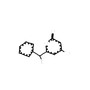 CCC(c1ccccc1)c1cc(O)cc(=O)o1